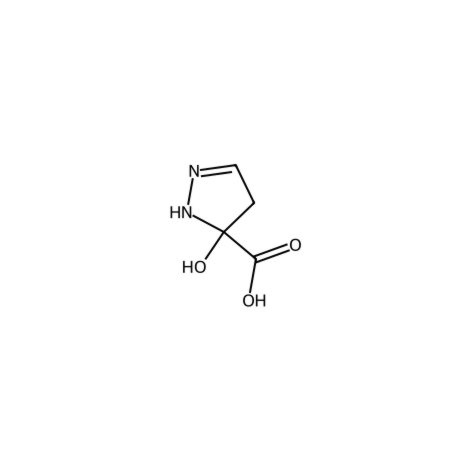 O=C(O)C1(O)CC=NN1